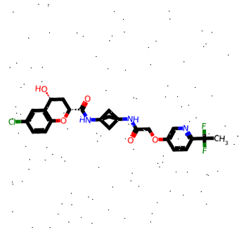 CC(F)(F)c1ccc(OCC(=O)NC23CC(NC(=O)[C@H]4C[C@@H](O)c5cc(Cl)ccc5O4)(C2)C3)cn1